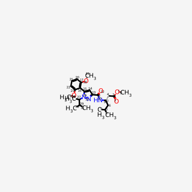 COC(=O)C[C@H](CC(C)C)NC(=O)c1cc(-c2c(OC)cccc2OC)n(C(C)C(C)C)n1